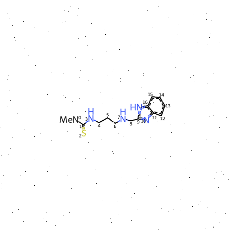 CNC(=S)NCCCNCc1nc2ccccc2[nH]1